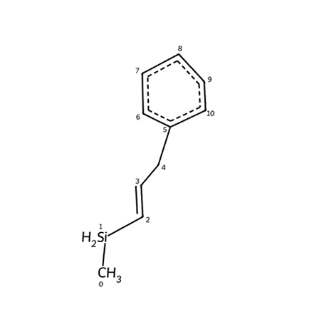 C[SiH2]C=CCc1ccccc1